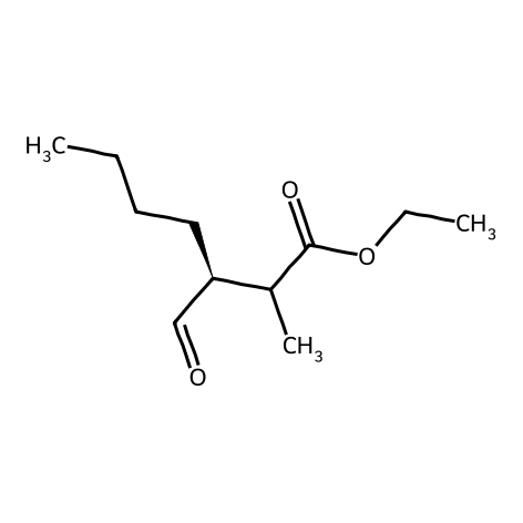 CCCC[C@H](C=O)C(C)C(=O)OCC